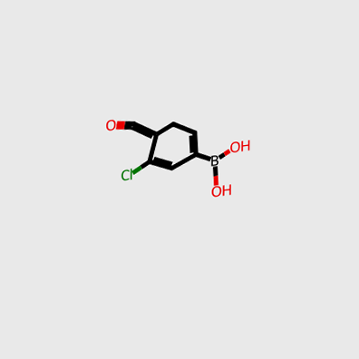 O=C=C1CC=C(B(O)O)C=C1Cl